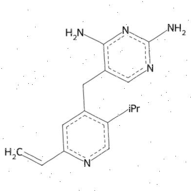 C=Cc1cc(Cc2cnc(N)nc2N)c(C(C)C)cn1